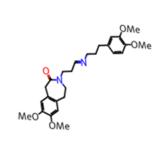 COc1ccc(CCC/N=C/CCN2CCc3cc(OC)c(OC)cc3CC2=O)cc1OC